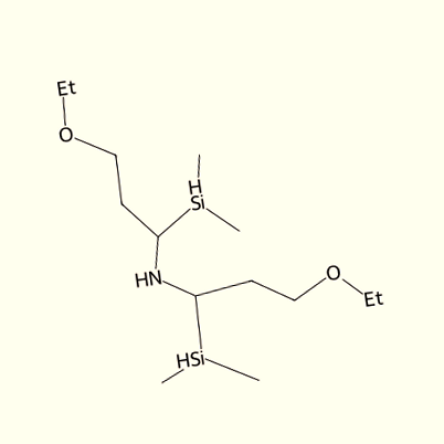 CCOCCC(NC(CCOCC)[SiH](C)C)[SiH](C)C